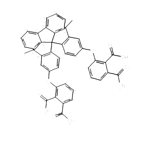 CCc1cc(Oc2cccc(C(=O)O)c2C(=O)O)ccc1C1(c2ccc(Oc3cccc(C(=O)O)c3C(=O)O)cc2CC)c2ccccc2-c2ccccc21